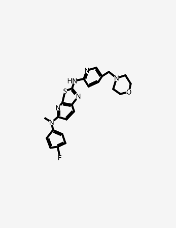 CN(c1ccc(F)cc1)c1ccc2nc(Nc3ccc(CN4CCOCC4)cn3)sc2n1